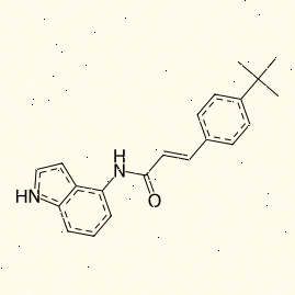 CC(C)(C)c1ccc(/C=C/C(=O)Nc2cccc3[nH]ccc23)cc1